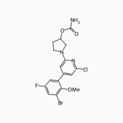 COc1c(Br)cc(F)cc1-c1cc(Cl)nc(N2CCC(OC(N)=O)C2)c1